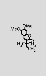 C=CC(C)(C)c1cc2cc(OC)c(OC)cc2oc1=O